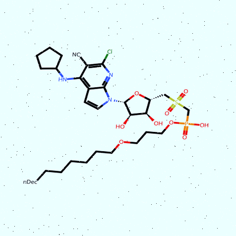 CCCCCCCCCCCCCCCCOCCCOP(=O)(O)CS(=O)(=O)C[C@H]1O[C@@H](n2ccc3c(NC4CCCC4)c(C#N)c(Cl)nc32)[C@H](O)[C@@H]1O